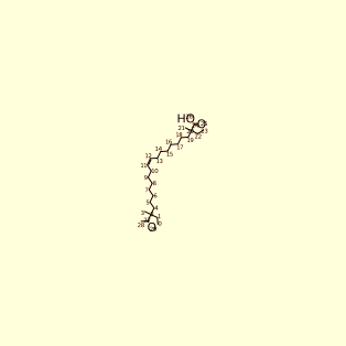 CCC(C)(CCCCCCC/C=C\CCCCCCCC(C)(CC)C(=O)O)C(C)=O